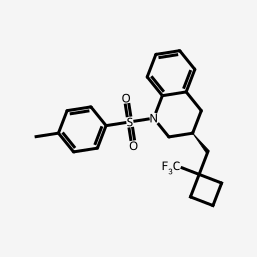 Cc1ccc(S(=O)(=O)N2C[C@H](CC3(C(F)(F)F)CCC3)Cc3ccccc32)cc1